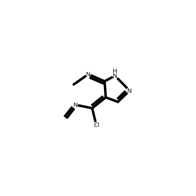 C=N/C(Cl)=C1/C=NN/C1=N/C